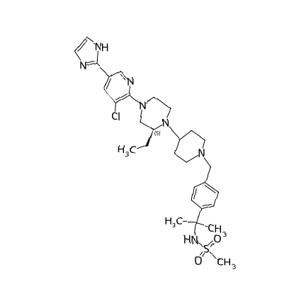 CC[C@H]1CN(c2ncc(-c3ncc[nH]3)cc2Cl)CCN1C1CCN(Cc2ccc(C(C)(C)NS(C)(=O)=O)cc2)CC1